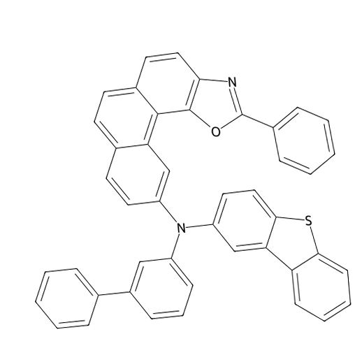 c1ccc(-c2cccc(N(c3ccc4sc5ccccc5c4c3)c3ccc4ccc5ccc6nc(-c7ccccc7)oc6c5c4c3)c2)cc1